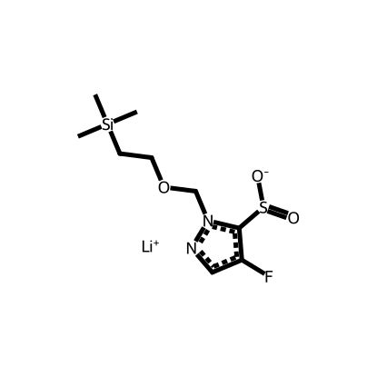 C[Si](C)(C)CCOCn1ncc(F)c1S(=O)[O-].[Li+]